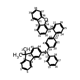 CC1(C)c2ccccc2-c2cc(N(c3ccccc3)c3ccc(-c4ccccc4-c4cccc5c4oc4ccccc45)cc3)ccc21